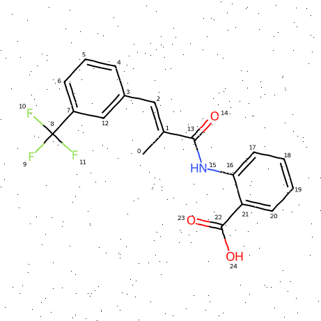 C/C(=C\c1cccc(C(F)(F)F)c1)C(=O)Nc1ccccc1C(=O)O